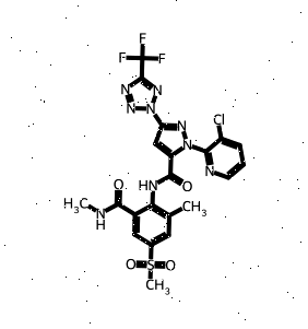 CNC(=O)c1cc(S(C)(=O)=O)cc(C)c1NC(=O)c1cc(-n2nnc(C(F)(F)F)n2)nn1-c1ncccc1Cl